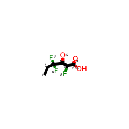 CCC(F)(F)C(=O)C(F)C(=O)O